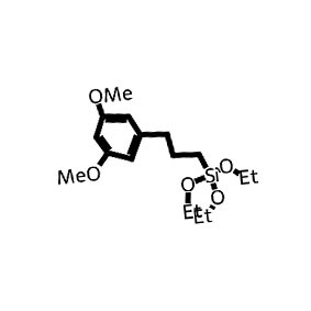 CCO[Si](CCCc1cc(OC)cc(OC)c1)(OCC)OCC